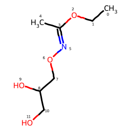 CCOC(C)=NOCC(O)CO